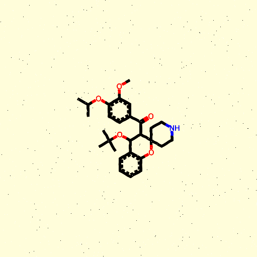 COc1cc(C(=O)C2C(OC(C)(C)C)c3ccccc3OC23CCNCC3)ccc1OC(C)C